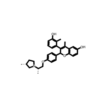 CC1=C(c2cccc(O)c2C)C(c2ccc(OC[C@H](C)N3CC[C@@H](C)C3)cc2)Oc2ccc(O)cc21